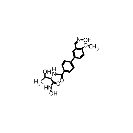 COc1ccc(-c2ccc(C(=O)N[C@H](C(=O)NO)[C@@H](C)O)cc2)cc1/C=N\O